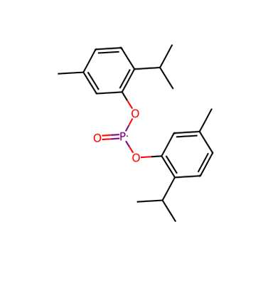 Cc1ccc(C(C)C)c(O[P](=O)Oc2cc(C)ccc2C(C)C)c1